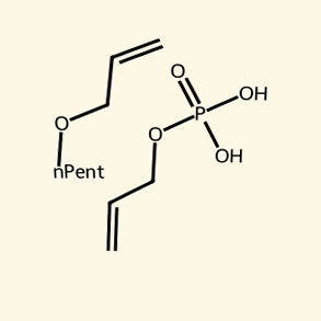 C=CCOCCCCC.C=CCOP(=O)(O)O